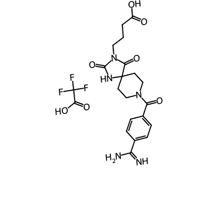 N=C(N)c1ccc(C(=O)N2CCC3(CC2)NC(=O)N(CCCC(=O)O)C3=O)cc1.O=C(O)C(F)(F)F